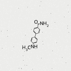 CNc1ccc(-c2ccc(C(N)=O)cc2)cc1